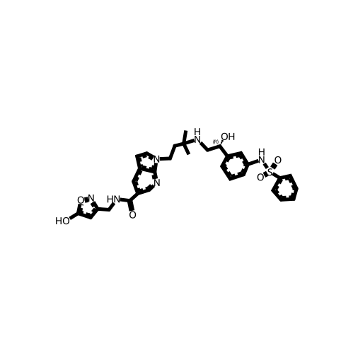 CC(C)(CCn1ccc2cc(C(=O)NCc3cc(O)on3)cnc21)NC[C@H](O)c1cccc(NS(=O)(=O)c2ccccc2)c1